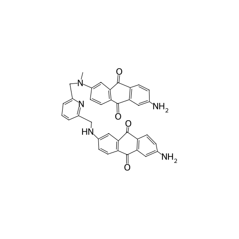 CN(Cc1cccc(CNc2ccc3c(c2)C(=O)c2ccc(N)cc2C3=O)n1)c1ccc2c(c1)C(=O)c1ccc(N)cc1C2=O